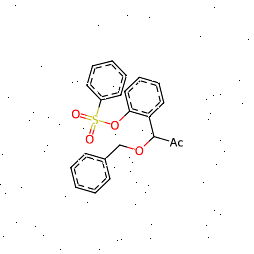 CC(=O)C(OCc1ccccc1)c1ccccc1OS(=O)(=O)c1ccccc1